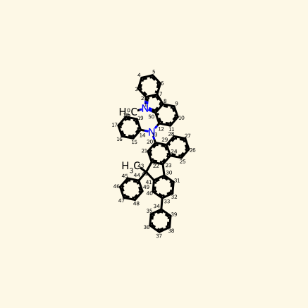 Cn1c2ccccc2c2cccc(N(c3ccccc3)c3cc4c(c5ccccc35)-c3ccc(-c5ccccc5)cc3C4(C)c3ccccc3)c21